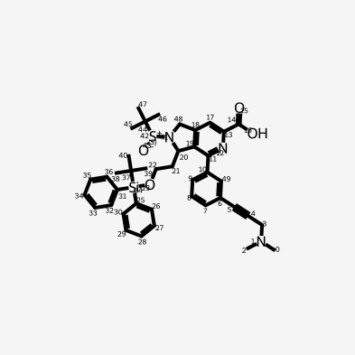 CN(C)CC#Cc1cccc(-c2nc(C(=O)O)cc3c2C(CCO[Si](c2ccccc2)(c2ccccc2)C(C)(C)C)N([S@+]([O-])C(C)(C)C)C3)c1